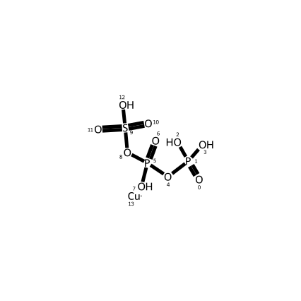 O=P(O)(O)OP(=O)(O)OS(=O)(=O)O.[Cu]